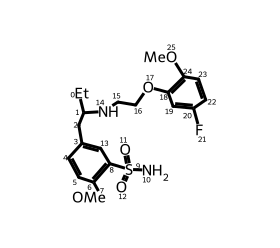 CCC(Cc1ccc(OC)c(S(N)(=O)=O)c1)NCCOc1cc(F)ccc1OC